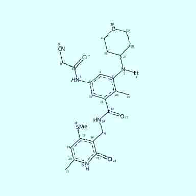 CCN(c1cc(NC(=O)CC#N)cc(C(=O)NCc2c(SC)cc(C)[nH]c2=O)c1C)C1CCOCC1